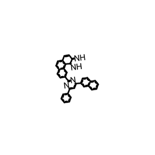 N=C1C=Cc2ccc3ccc(-c4nc(-c5ccccc5)cc(-c5ccc6ccccc6c5)n4)cc3c2C1=N